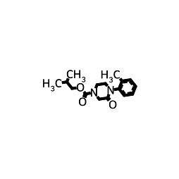 Cc1ccccc1N1CCN(C(=O)OCC(C)C)CC1=O